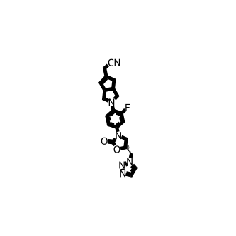 N#CCC1=CC2CN(c3ccc(N4C[C@H](Cn5ccnn5)OC4=O)cc3F)CC2C1